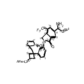 COC1CC(c2cccc(N3Cc4c(cc(C(N)C(C)(C)C)cc4C(F)(F)F)C3=O)c2)(c2nncn2C)C1